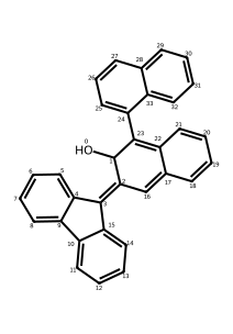 OC1C(=C2c3ccccc3-c3ccccc32)C=c2ccccc2=C1c1cccc2ccccc12